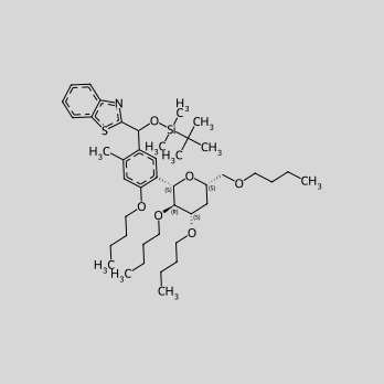 CCCCOC[C@@H]1C[C@H](OCCCC)[C@@H](OCCCC)[C@H](c2cc(C(O[Si](C)(C)C(C)(C)C)c3nc4ccccc4s3)c(C)cc2OCCCC)O1